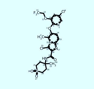 Cc1c(Oc2ncc(Cl)cc2OCC(F)(F)F)ccc2nc(C(=O)NC3(C)CCS(=O)(=O)CC3)c(Cl)n12